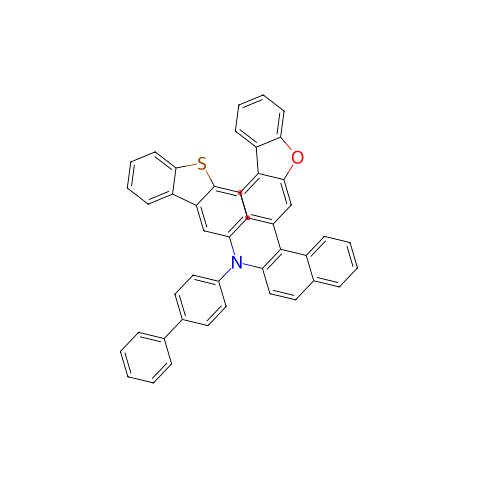 c1ccc(-c2ccc(N(c3ccc4sc5ccccc5c4c3)c3ccc4ccccc4c3-c3ccc4c(c3)oc3ccccc34)cc2)cc1